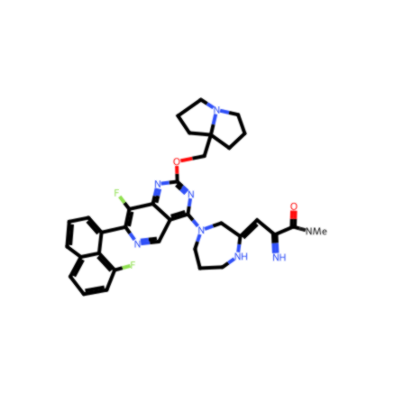 CNC(=O)C(=N)/C=C1/CN(c2nc(OCC34CCCN3CCC4)nc3c(F)c(-c4cccc5cccc(F)c45)ncc23)CCCN1